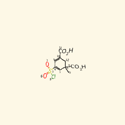 CC1(C(=O)O)C=C(S(=O)(=O)Cl)C=C(C(=O)O)C1